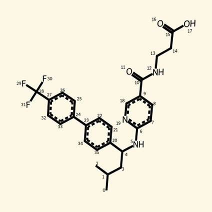 CC(C)CC(Nc1ccc(C(=O)NCCC(=O)O)cn1)c1ccc(-c2ccc(C(F)(F)F)cc2)cc1